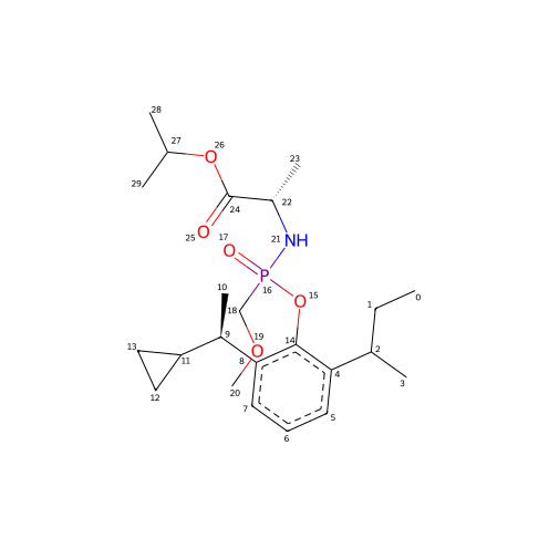 CCC(C)c1cccc([C@H](C)C2CC2)c1OP(=O)(COC)N[C@@H](C)C(=O)OC(C)C